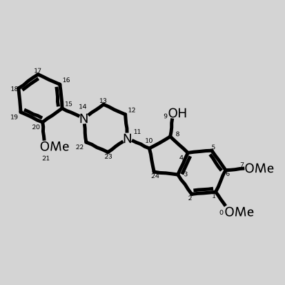 COc1cc2c(cc1OC)C(O)C(N1CCN(c3ccccc3OC)CC1)C2